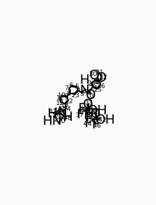 O=C(NCc1cccc(-c2cccc(CN3C[C@@H]4C[C@H]3CN4)c2)c1)c1ccc2c(c1)OCO2.O=C(O)C(F)(F)F.O=C(O)C(F)(F)F